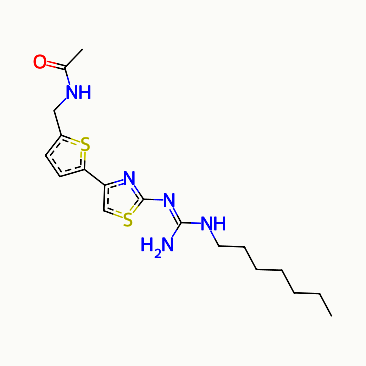 CCCCCCCN/C(N)=N/c1nc(-c2ccc(CNC(C)=O)s2)cs1